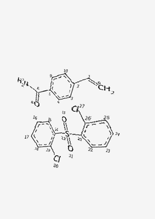 C=Cc1ccc(C(N)=O)cc1.O=S(=O)(c1ccccc1Cl)c1ccccc1Cl